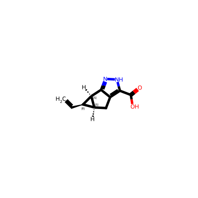 C=C[C@@H]1[C@@H]2Cc3c(n[nH]c3C(=O)O)[C@H]12